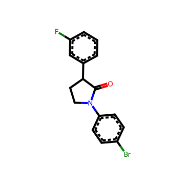 O=C1C(c2cccc(F)c2)CCN1c1ccc(Br)cc1